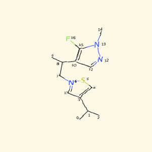 CC(C)c1cs[n+](CC(C)c2cnn(C)c2F)c1